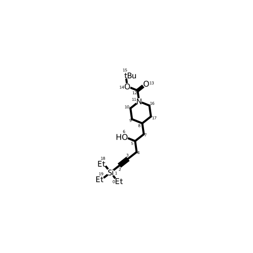 CC[Si](C#CCC(O)CC1CCN(C(=O)OC(C)(C)C)CC1)(CC)CC